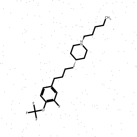 CCCCC[Si@H]1CC[C@H](CCCCc2ccc(OC(F)(F)F)c(F)c2)CC1